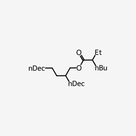 CCCCCCCCCCCCC(CCCCCCCCCC)COC(=O)C(CC)CCCC